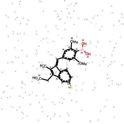 COc1cc(/C=C2/C(C)=C(CC(=O)O)c3cc(F)ccc32)cc(OC)c1B(O)O